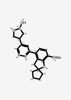 COc1ccc(-c2cc(C3COB(O)C3)cnn2)c2c1OC1(CCCC1)C2